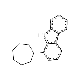 c1ccc2c(c1)[nH]c1c([C]3CCCCCC3)cccc12